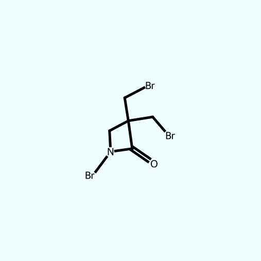 O=C1N(Br)CC1(CBr)CBr